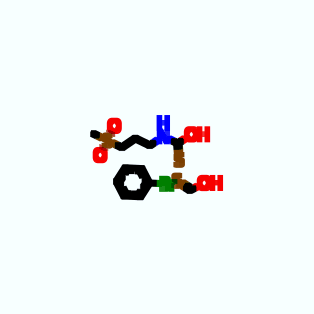 Brc1ccccc1.CS(=O)(=O)CCCNC(O)=S.OC=S